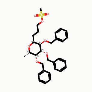 C[C@@H]1O[C@@H](CCCOS(C)(=O)=O)[C@@H](OCc2ccccc2)[C@H](OCc2ccccc2)[C@@H]1OCc1ccccc1